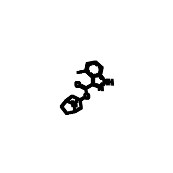 Cc1cccc2[nH]nc(C(=O)OC3CC4CCC(C3)N4C)c12